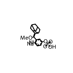 COC(=C1C2CC3CC(C2)CC1C3)c1cccc(OP(=O)([O-])O)c1.N.[Na+]